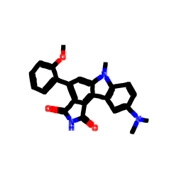 COc1ccccc1-c1cc2c(c3c1C(=O)NC3=O)c1cc(N(C)C)ccc1n2C